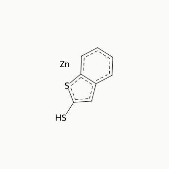 Sc1cc2ccccc2s1.[Zn]